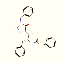 C[C@@H]1N[C@@H]([C@@H](O)[C@H](Cc2ccccc2)NC(=O)Oc2ccccc2)C(=O)N1Cc1ccccc1